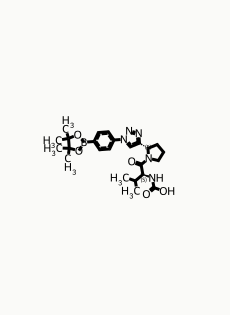 CC(C)[C@H](NC(=O)O)C(=O)N1CCC[C@H]1c1cn(-c2ccc(B3OC(C)(C)C(C)(C)O3)cc2)nn1